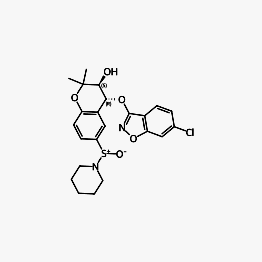 CC1(C)Oc2ccc([S+]([O-])N3CCCCC3)cc2[C@@H](Oc2noc3cc(Cl)ccc23)[C@@H]1O